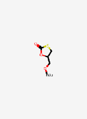 CCCCOCC1CSC(=O)O1